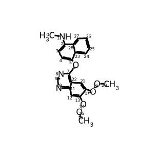 CNc1ccc(Oc2ncnc3cc(OOC)c(OOC)cc23)c2ccccc12